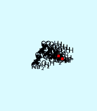 O=C(O)CN(CCN(CC(=O)O)CC(=O)O)CC(=O)O.O=C(O)CN(CCN(CC(=O)O)CC(=O)O)CC(=O)O.O=C(O)CN(CCN(CC(=O)O)CC(=O)O)CC(=O)O.O=C(O)CN(CCN(CC(=O)O)CC(=O)O)CC(=O)O.O=P([O-])([O-])OP(=O)([O-])[O-].[Na+].[Na+].[Na+].[Na+]